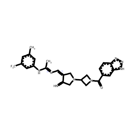 C/C(=N\C=C1\CN(C2CN(C(=O)c3ccc4nn[nH]c4c3)C2)CC1=N)Nc1cc(C)cc(C(F)(F)F)c1